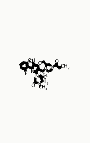 C=CC(=O)N1CCN2Cc3c(N4CC(=O)N(C)CC4(C)C)nc(-c4c(O)cccc4F)c(Cl)c3OCC2C1